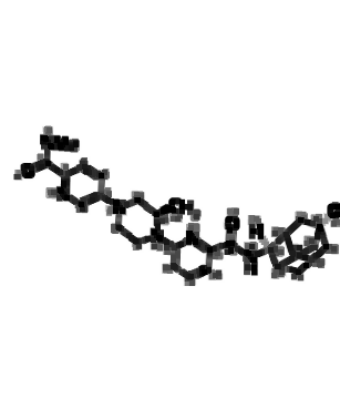 CNC(=O)c1ccc(N2CCN(c3cccc(C(=O)N[C@H]4C5CC6CC4C[C@](O)(C6)C5)n3)[C@H](C)C2)cn1